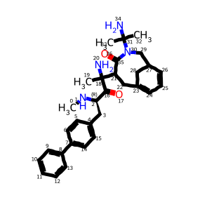 CN[C@H](Cc1ccc(-c2ccccc2)cc1)C(=O)C(C)(N)C1CC2=CC=CC(C2)CN(C(C)(C)N)C1=O